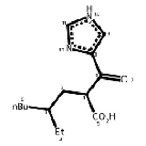 CCCCC(CC)CC(C(=O)O)C(=O)c1c[nH]cn1